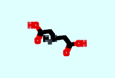 O=C(O)C[SiH2]CC(=O)O